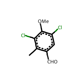 COc1c(Cl)cc(C=O)c(C)c1Cl